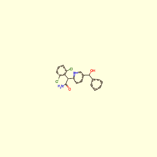 NC(=O)C(c1ccc(C(O)c2ccccc2)cn1)c1c(Cl)cccc1Cl